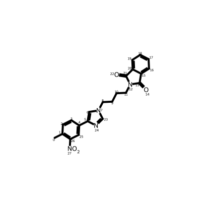 Cc1ccc(-c2cn(CCCCN3C(=O)c4ccccc4C3=O)cn2)cc1[N+](=O)[O-]